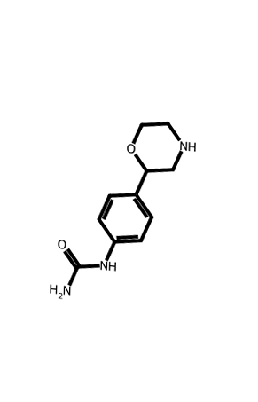 NC(=O)Nc1ccc(C2CNCCO2)cc1